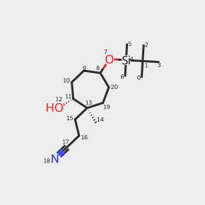 CC(C)(C)[Si](C)(C)OC1CC[C@@H](O)[C@](C)(CCC#N)CC1